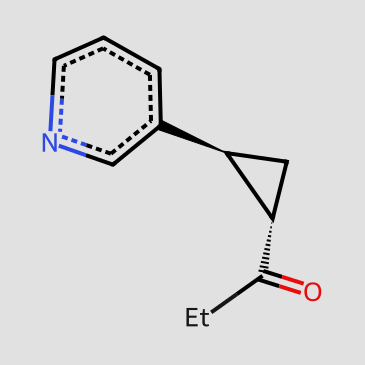 CCC(=O)[C@H]1C[C@@H]1c1cccnc1